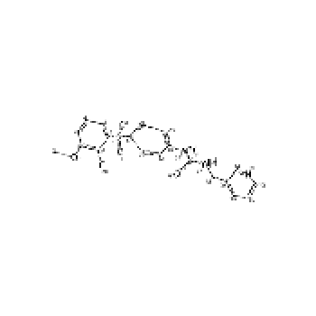 COc1cccc(S(=O)(=O)c2ccc(NC(=O)NCc3cccnc3)cc2)c1F